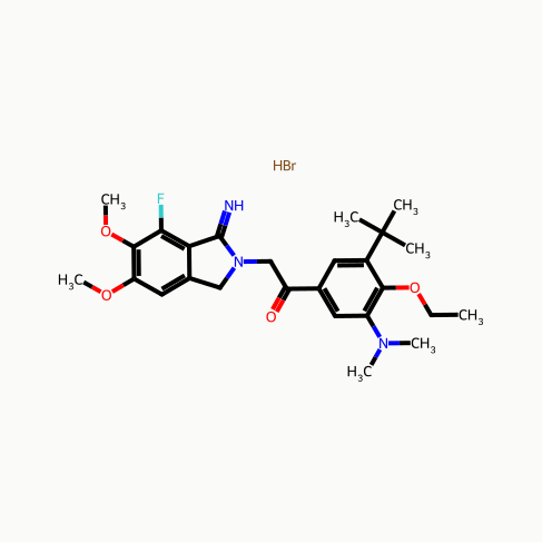 Br.CCOc1c(N(C)C)cc(C(=O)CN2Cc3cc(OC)c(OC)c(F)c3C2=N)cc1C(C)(C)C